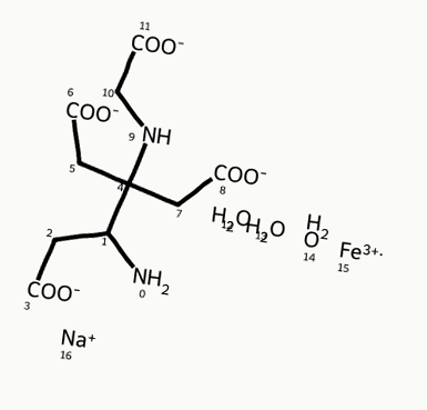 NC(CC(=O)[O-])C(CC(=O)[O-])(CC(=O)[O-])NCC(=O)[O-].O.O.O.[Fe+3].[Na+]